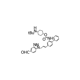 CC(C)(C)NC1CCC(OC(=O)Nc2cc(/C=C/Cn3nnc4cc(C=O)ccc43)ccc2-c2ccccc2)CC1